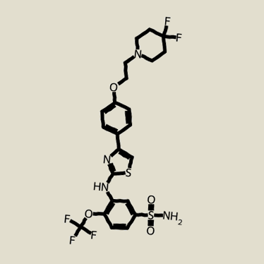 NS(=O)(=O)c1ccc(OC(F)(F)F)c(Nc2nc(-c3ccc(OCCN4CCC(F)(F)CC4)cc3)cs2)c1